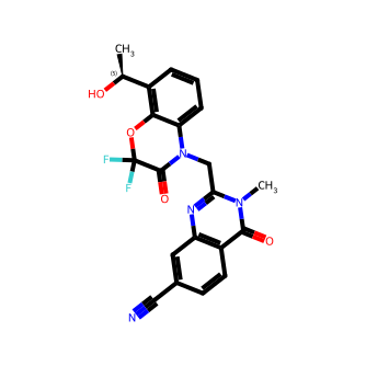 C[C@H](O)c1cccc2c1OC(F)(F)C(=O)N2Cc1nc2cc(C#N)ccc2c(=O)n1C